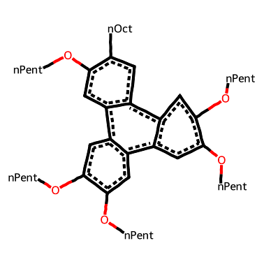 CCCCCCCCc1cc2c(cc1OCCCCC)c1cc(OCCCCC)c(OCCCCC)cc1c1cc(OCCCCC)c(OCCCCC)cc21